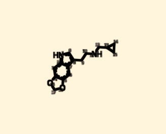 c1[nH]c2cc3c(cc2c1CCNCC1CC1)OCO3